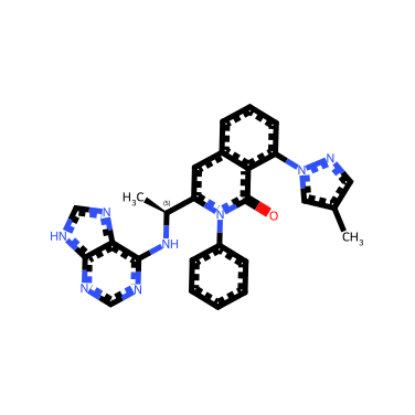 Cc1cnn(-c2cccc3cc([C@H](C)Nc4ncnc5[nH]cnc45)n(-c4ccccc4)c(=O)c23)c1